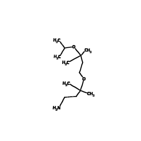 CC(C)OC(C)(C)CCOC(C)(C)CCN